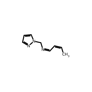 C/C=C\C=N/Cn1cccn1